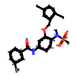 Cc1ccc(C)c(COc2cc(NC(=O)c3cccc(C#N)c3)ccc2N(C)S(C)(=O)=O)c1